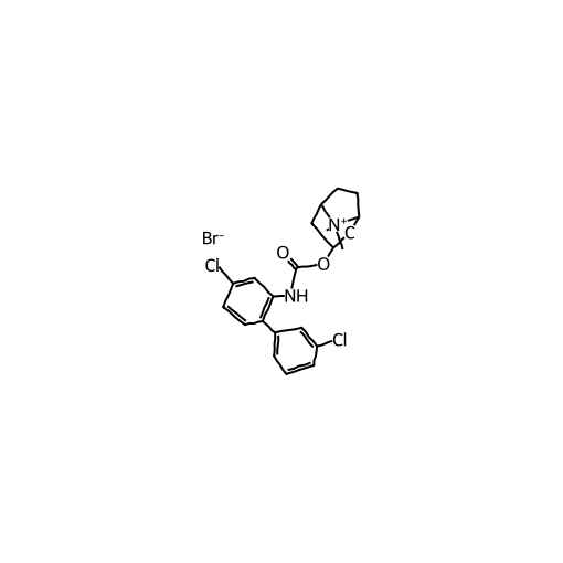 C[N+]1(C)C2CCC1CC(OC(=O)Nc1cc(Cl)ccc1-c1cccc(Cl)c1)C2.[Br-]